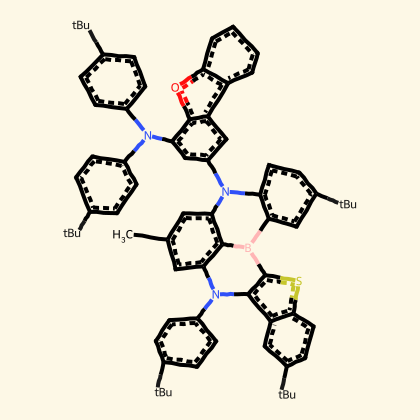 Cc1cc2c3c(c1)N(c1ccc(C(C)(C)C)cc1)c1c(sc4ccc(C(C)(C)C)cc14)B3c1cc(C(C)(C)C)ccc1N2c1cc(N(c2ccc(C(C)(C)C)cc2)c2ccc(C(C)(C)C)cc2)c2oc3ccccc3c2c1